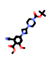 COC(=O)c1c(C#N)cc(N2CC(N3CCN(C(=O)OC(C)(C)C)CC3)C2)cc1OC